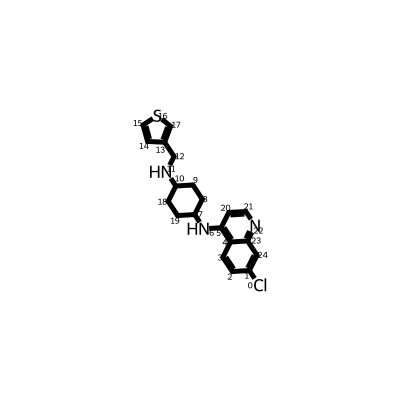 Clc1ccc2c(NC3CCC(NCc4ccsc4)CC3)ccnc2c1